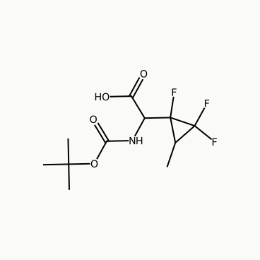 CC1C(F)(F)C1(F)C(NC(=O)OC(C)(C)C)C(=O)O